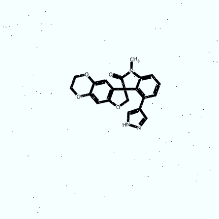 CN1C(=O)C2(COc3cc4c(cc32)OCCO4)c2c(-c3cn[nH]c3)cccc21